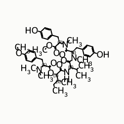 CC[C@H](C)[C@H](OC(=O)[C@H](Cc1ccc(OC)cc1)N(C)C)C(=O)N[C@@H](C(=O)N(C)[C@H](Cc1ccc(O)cc1)C(=O)N(C)[C@H](Cc1ccc(O)cc1)C(=O)OC)C(C)C